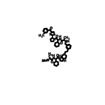 CN[C@@H](C)C(=O)N[C@H](C(=O)N1CC[C@H]2CCN(CCc3cccc(CN[C@@H](C)C(=O)N[C@H](C(=O)N4CCC[C@H]4c4nc(C(=O)c5cccc(C)c5)cs4)C4CCCCC4)c3)C[C@H]21)C1CCCCC1